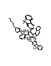 CCCCCc1ccc(Nc2ccccc2-c2cc(-c3ccc4c(c3)C(C)(C)c3ccccc3-4)c3c4c5ccccc5ccc4n4c3c2Bc2cc3oc5ccccc5c3cc2-4)cc1